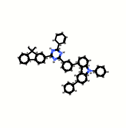 CC1(C)c2ccccc2-c2ccc(-c3nc(-c4cccc(-c5cccc6c5c5cc(-c7ccccc7)ccc5n6-c5ccccc5)c4)nc(C4C=CC=CC4)n3)cc21